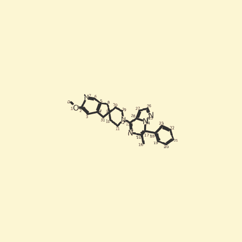 COc1cc2c(cn1)CC1(CCN(c3nc(C)c(-c4ccccc4)n4nccc34)CC1)C2